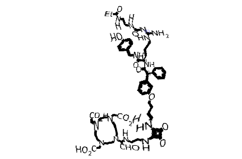 CCC(=O)NCCNC(=O)/N=C(/N)NCCC[C@@H](NC(=O)[C@@H](c1ccccc1)c1cccc(OCCCCNc2c(NCCNC(C=O)N3CCN(CC(=O)O)CCN(CC(=O)O)CCN(CC(=O)O)CC3)c(=O)c2=O)c1)C(=O)NCc1ccc(O)cc1